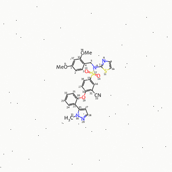 COc1ccc(CN(c2nccs2)S(=O)(=O)c2ccc(Oc3ccccc3-c3ccnn3C)c(C#N)c2)c(OC)c1